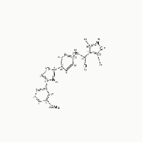 COc1cccc(-c2noc(-c3ccc(NC(=O)c4c(C)noc4C)cc3)n2)c1